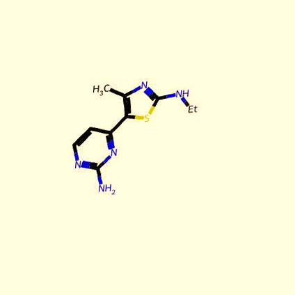 CCNc1nc(C)c(-c2ccnc(N)n2)s1